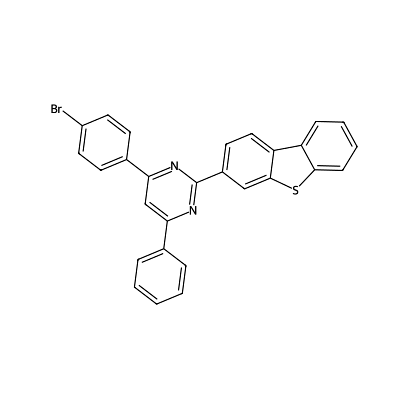 Brc1ccc(-c2cc(-c3ccccc3)nc(-c3ccc4c(c3)sc3ccccc34)n2)cc1